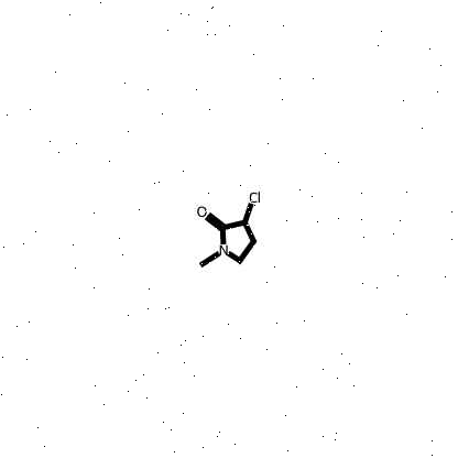 CN1[CH]CC(Cl)C1=O